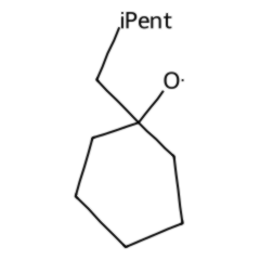 CCCC(C)CC1([O])CCCCC1